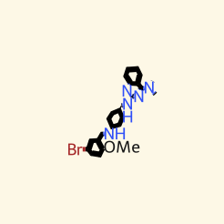 COc1ccc(Br)cc1CN[C@H]1CC[C@@H](CNc2nc(N(C)C)c3ccccc3n2)CC1